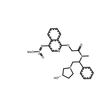 CO[SH](=O)=Nc1cnc(OCC(=O)N(C)C(CN2CC[C@H](O)C2)c2ccccc2)c2ccccc12